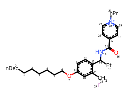 CCCCCCCCCCCCCCCCOc1ccc(C(CC)NC(=O)c2cc[n+](CCC)cc2)c(C)c1.[I-]